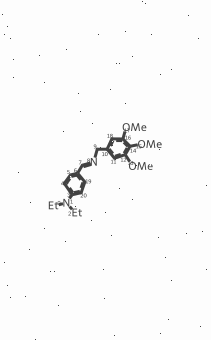 CCN(CC)c1ccc(C=NCc2cc(OC)c(OC)c(OC)c2)cc1